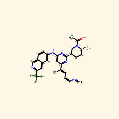 C=N/C=C\C=C(/C)c1cc(Nc2ccc3cnc(C(F)(F)F)cc3c2)nc([C@@H]2CC[C@H](C)N(C(C)=O)C2)n1